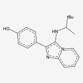 CC(Nc1c(-c2ccc(O)cc2)nc2ccccn12)C(C)(C)C